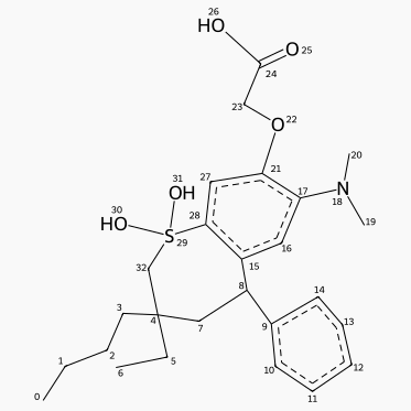 CCCCC1(CC)CC(c2ccccc2)c2cc(N(C)C)c(OCC(=O)O)cc2S(O)(O)C1